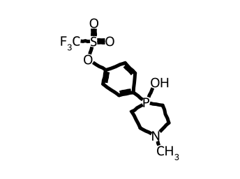 CN1CC[P](O)(c2ccc(OS(=O)(=O)C(F)(F)F)cc2)CC1